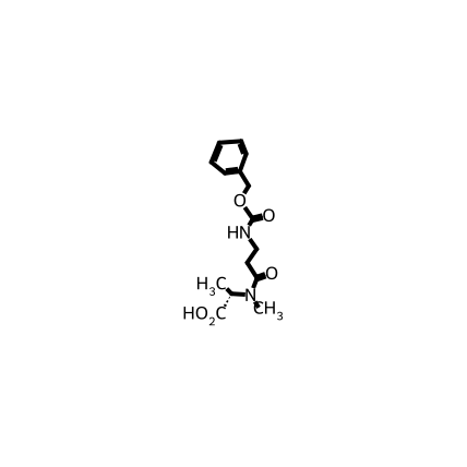 C[C@@H](C(=O)O)N(C)C(=O)CCNC(=O)OCc1ccccc1